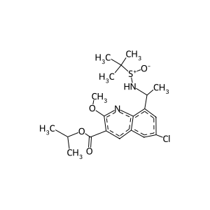 COc1nc2c(C(C)N[S+]([O-])C(C)(C)C)cc(Cl)cc2cc1C(=O)OC(C)C